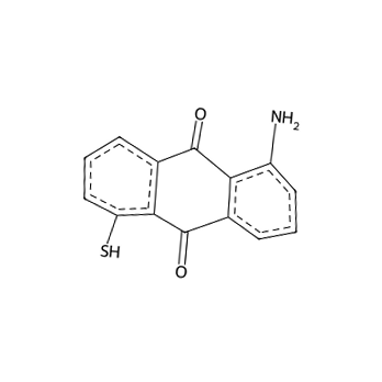 Nc1cccc2c1C(=O)c1cccc(S)c1C2=O